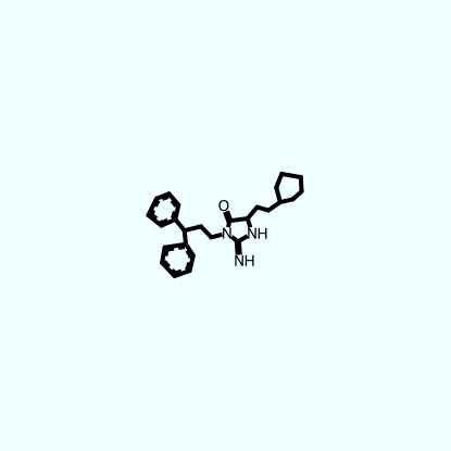 N=C1NC(CCC2CCCCC2)C(=O)N1CCC(c1ccccc1)c1ccccc1